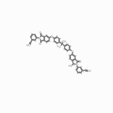 C#Cc1cccc(N2C(=O)c3ccc(Oc4ccc(C(C)(C)c5ccc(Oc6ccc7c(c6)C(=O)N(c6cccc(C#C)c6)C7O)cc5)cc4)cc3C2=O)c1